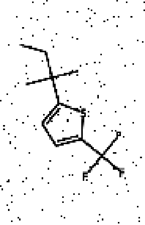 CCC(C)(C)c1ccc(C(F)(F)F)s1